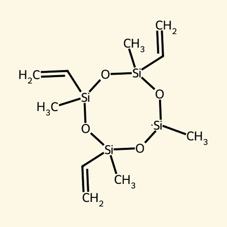 C=C[Si]1(C)O[Si](C)O[Si](C)(C=C)O[Si](C)(C=C)O1